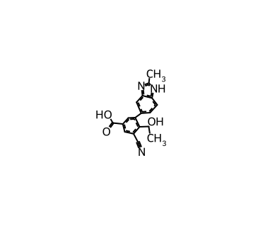 Cc1nc2cc(-c3cc(C(=O)O)cc(C#N)c3C(C)O)ccc2[nH]1